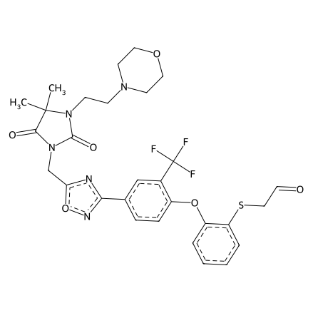 CC1(C)C(=O)N(Cc2nc(-c3ccc(Oc4ccccc4SCC=O)c(C(F)(F)F)c3)no2)C(=O)N1CCN1CCOCC1